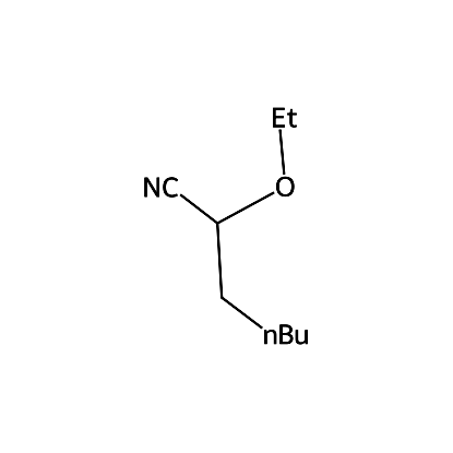 CCCCCC(C#N)OCC